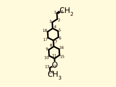 C=CCCC1CCC(C2CCC(OCC)CC2)CC1